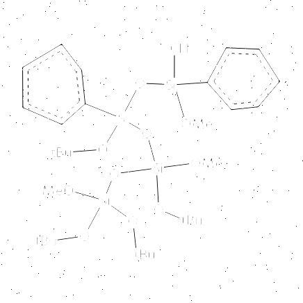 CO[Si](OC(C)(C)C)(OC(C)(C)C)O[Si](OC)(OC(C)(C)C)O[Si](OC(C)(C)C)(O[Si](C)(OC)c1ccccc1)c1ccccc1